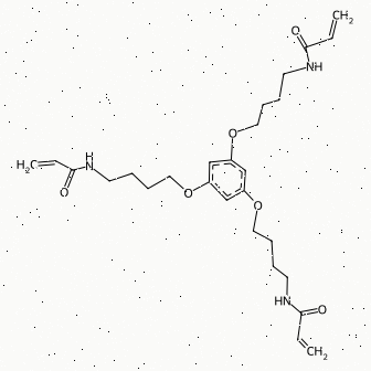 C=CC(=O)NCCCCOc1cc(OCCCCNC(=O)C=C)cc(OCCCCNC(=O)C=C)c1